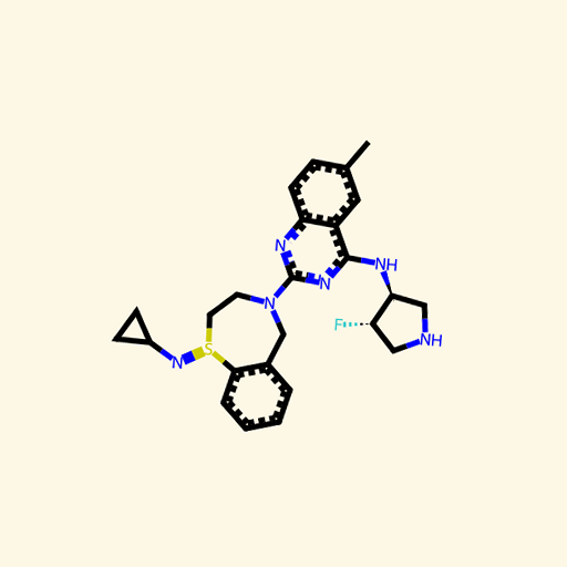 Cc1ccc2nc(N3CCS(=NC4CC4)c4ccccc4C3)nc(N[C@H]3CNC[C@@H]3F)c2c1